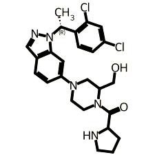 C[C@H](c1ccc(Cl)cc1Cl)n1ncc2ccc(N3CCN(C(=O)C4CCCN4)C(CO)C3)cc21